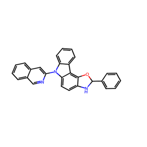 c1ccc(C2Nc3ccc4c(c3O2)c2ccccc2n4-c2cc3ccccc3cn2)cc1